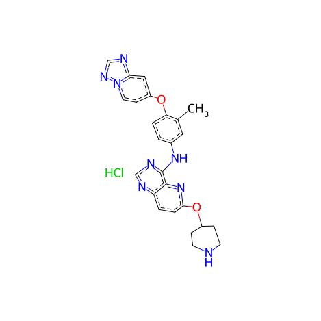 Cc1cc(Nc2ncnc3ccc(OC4CCNCC4)nc23)ccc1Oc1ccn2ncnc2c1.Cl